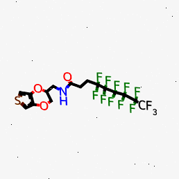 O=C(CCC(F)(F)C(F)(F)C(F)(F)C(F)(F)C(F)(F)C(F)(F)F)NCC1COc2cscc2O1